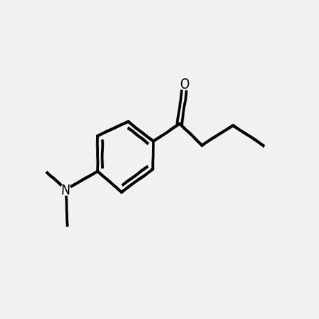 CCCC(=O)c1ccc(N(C)C)cc1